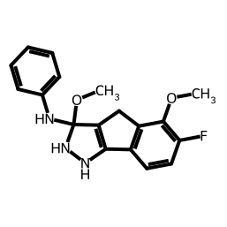 COc1c(F)ccc2c1CC1=C2NNC1(Nc1ccccc1)OC